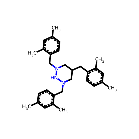 Cc1ccc(CC2CN(Cc3ccc(C)cc3C)NN(Cc3ccc(C)cc3C)C2)c(C)c1